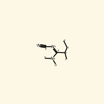 CCC(C)C(=NC#N)N(C)C